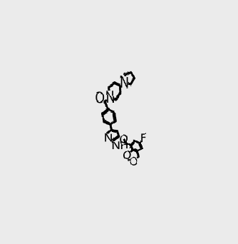 Nc1ncc(-c2ccc(C(=O)N3CCC(N4CCCC4)CC3)cc2)cc1OCc1cc(F)cc2c1OCOC2